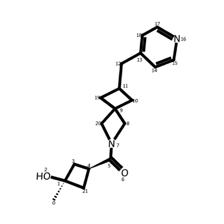 C[C@]1(O)C[C@@H](C(=O)N2CC3(CC(Cc4ccncc4)C3)C2)C1